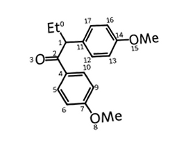 CCC(C(=O)c1ccc(OC)cc1)c1ccc(OC)cc1